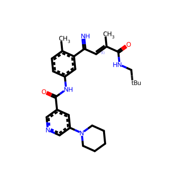 C/C(=C\C(=N)c1cc(NC(=O)c2cncc(N3CCCCC3)c2)ccc1C)C(=O)NCC(C)(C)C